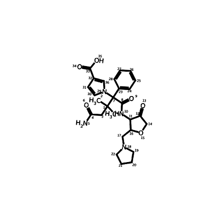 CC(C)(CC(N)=O)C(C(=O)NC1C(=O)COC1CN1CCCC1)(c1ccccc1)n1ccc(C(=O)O)c1